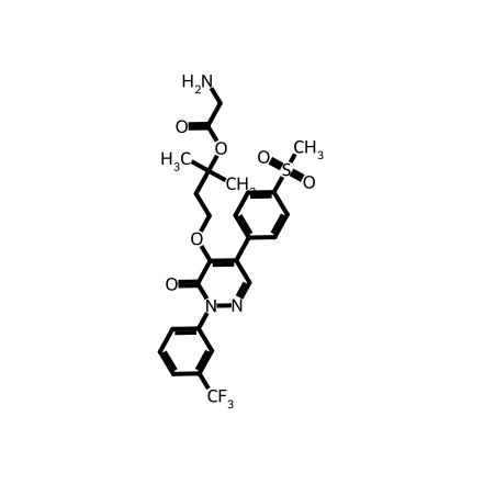 CC(C)(CCOc1c(-c2ccc(S(C)(=O)=O)cc2)cnn(-c2cccc(C(F)(F)F)c2)c1=O)OC(=O)CN